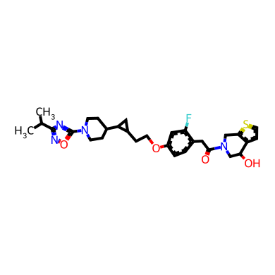 CC(C)c1noc(N2CCC(C3CC3CCOc3ccc(CC(=O)N4Cc5sccc5C(O)C4)c(F)c3)CC2)n1